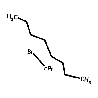 CCCBr.CCCCCCCC